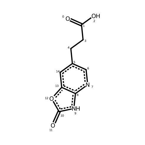 O=C(O)CCc1cnc2[nH]c(=O)oc2c1